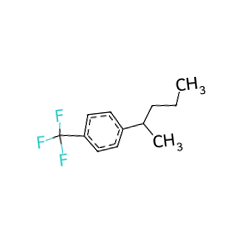 CCCC(C)c1ccc(C(F)(F)F)cc1